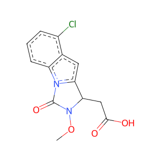 CON1C(=O)n2c(cc3c(Cl)cccc32)C1CC(=O)O